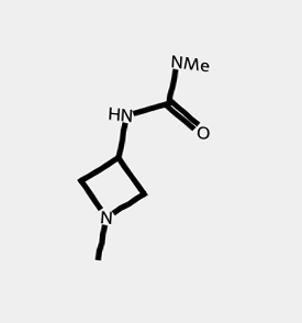 CNC(=O)NC1CN(C)C1